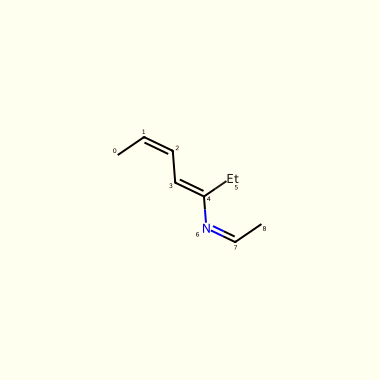 C\C=C/C=C(CC)/N=C\C